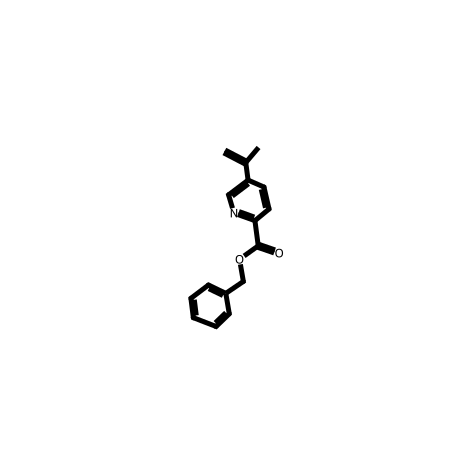 C=C(C)c1ccc(C(=O)OCc2ccccc2)nc1